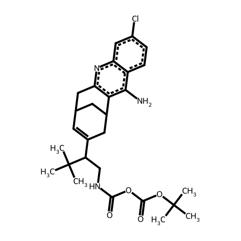 CC(C)(C)OC(=O)OC(=O)NCC(C1=CC2Cc3nc4cc(Cl)ccc4c(N)c3C(C1)C2)C(C)(C)C